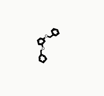 c1ccc(COc2cccc(OCc3ccccc3)c2)cc1